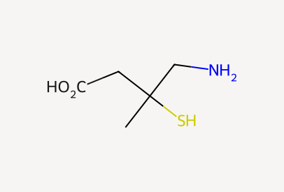 CC(S)(CN)CC(=O)O